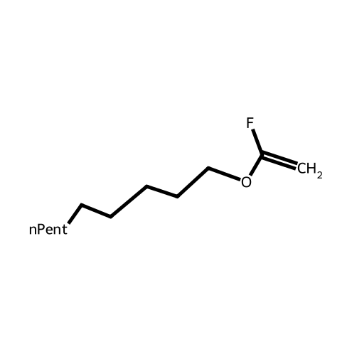 C=C(F)OCCCCCCCCCC